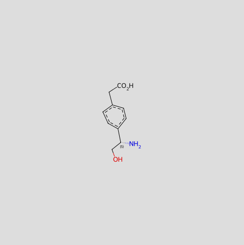 N[C@H](CO)c1ccc(CC(=O)O)cc1